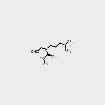 CN(C)CCCN(CC=O)C(=O)OC(C)(C)C